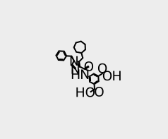 O=C(O)c1cc(NC(=O)c2ncn(Cc3ccccc3)c2CC2CCCCCC2)cc(C(=O)O)c1